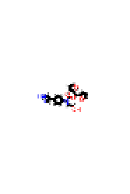 O=C(OC(c1ccco1)c1ccco1)N(CCO)c1ccc(-c2cn[nH]c2)cc1